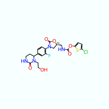 O=C(NC[C@H]1CN(c2ccc(C3CCNC(=O)N3CCO)cc2F)C(=O)O1)Oc1ccc(Cl)s1